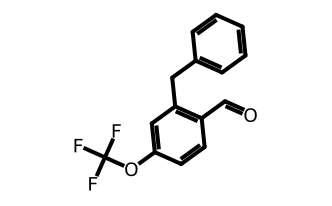 O=Cc1ccc(OC(F)(F)F)cc1Cc1ccccc1